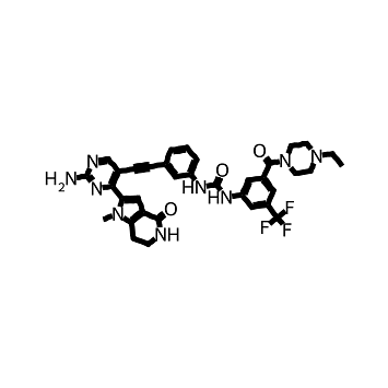 CCN1CCN(C(=O)c2cc(NC(=O)Nc3cccc(C#Cc4cnc(N)nc4-c4cc5c(n4C)CCNC5=O)c3)cc(C(F)(F)F)c2)CC1